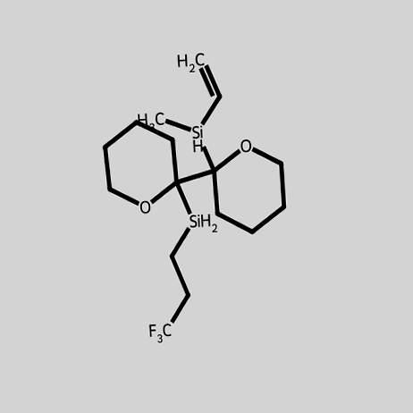 C=C[SiH](C)C1(C2([SiH2]CCC(F)(F)F)CCCCO2)CCCCO1